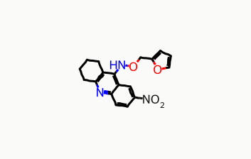 O=[N+]([O-])c1ccc2nc3c(c(NOCc4ccco4)c2c1)CCCC3